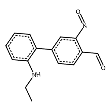 CCNc1ccccc1-c1ccc(C=O)c(N=O)c1